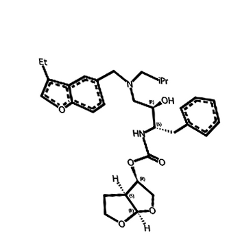 CCc1coc2ccc(CN(CC(C)C)C[C@@H](O)[C@H](Cc3ccccc3)NC(=O)O[C@H]3CO[C@H]4OCC[C@H]43)cc12